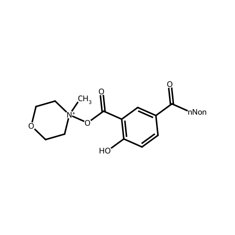 CCCCCCCCCC(=O)c1ccc(O)c(C(=O)O[N+]2(C)CCOCC2)c1